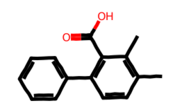 Cc1ccc(-c2ccccc2)c(C(=O)O)c1C